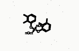 CCCCCCC[CH2][Sn]([CH2]CCCCCCC)([O]c1cccc(C)c1C)[O]c1cccc(C)c1C